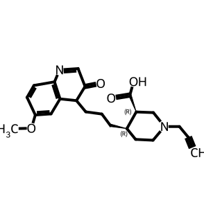 C#CCN1CC[C@@H](CCCC2C(=O)C=Nc3ccc(OC)cc32)[C@@H](C(=O)O)C1